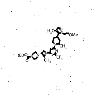 COCCn1ncc(C)c1C1CCN(c2cc(N3C[C@@H](N4CCN(C(=O)OC(C)(C)C)CC4)[C@H]3C)nc(C(F)(F)F)n2)[C@H](C)C1